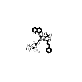 CC(C)(C)OC(=O)OCS/C(=N/c1cccc2cccnc12)NC(NC(=O)/C=C/c1ccccc1)C(Cl)(Cl)Cl